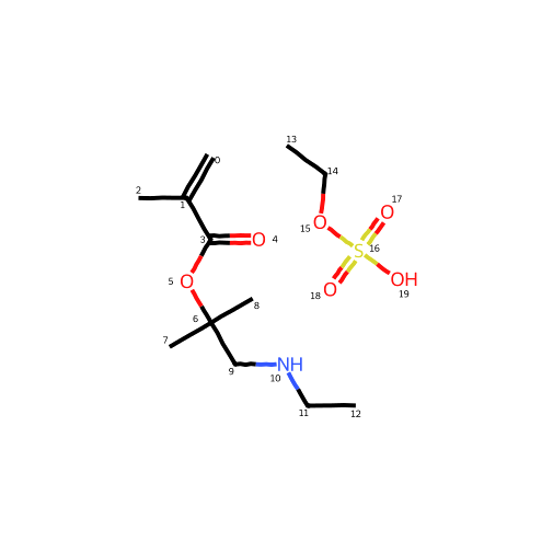 C=C(C)C(=O)OC(C)(C)CNCC.CCOS(=O)(=O)O